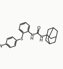 O=C(Nc1ccccc1Sc1ccc([N+](=O)[O-])cc1)NC12CC3CC(CC(C3)C1)C2